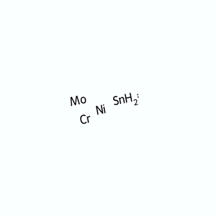 [Cr].[Mo].[Ni].[SnH2]